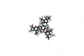 CC(C)(C)c1cc(Cc2c(S(C)(=O)=O)c(Cc3cc(C(C)(C)C)c(O)c(C(C)(C)C)c3)c(S(C)(=O)=O)c(Cc3cc(C(C)(C)C)c(O)c(C(C)(C)C)c3)c2S(C)(=O)=O)cc(C(C)(C)C)c1O